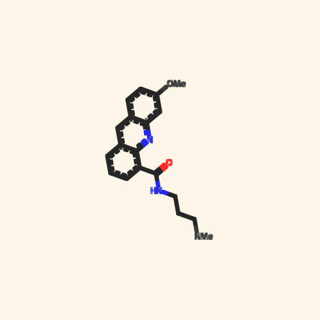 CNCCCNC(=O)c1cccc2cc3ccc(OC)cc3nc12